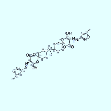 Cc1cc(/N=N/C2=C(O)OC3(CCC(C(C)(C)C4CCC5(CC4)OC(=O)C(/N=N/c4cc(C)on4)=C(O)O5)CC3)OC2=O)no1